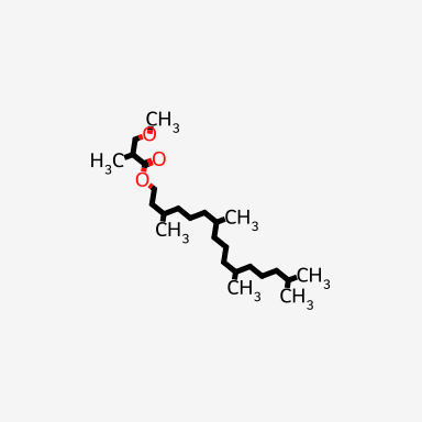 COCC(C)C(=O)OCCC(C)CCCC(C)CCCC(C)CCCC(C)C